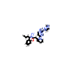 CCCC(NC(=O)CC1CCCCN1c1ccnc(-n2ccnc2)n1)c1ccccc1